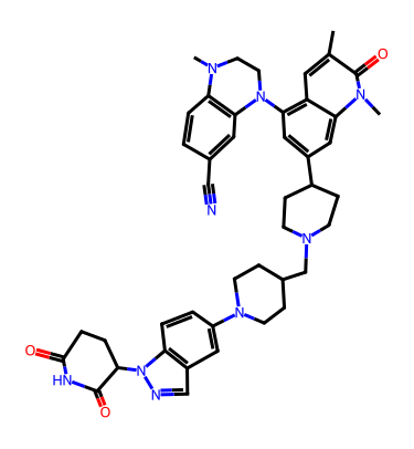 Cc1cc2c(N3CCN(C)c4ccc(C#N)cc43)cc(C3CCN(CC4CCN(c5ccc6c(cnn6C6CCC(=O)NC6=O)c5)CC4)CC3)cc2n(C)c1=O